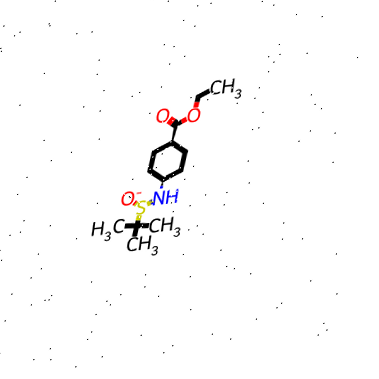 CCOC(=O)[C@H]1CC[C@H](N[S+]([O-])C(C)(C)C)CC1